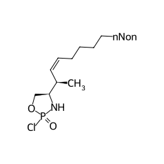 CCCCCCCCCCCCC/C=C\[C@@H](C)[C@@H]1COP(=O)(Cl)N1